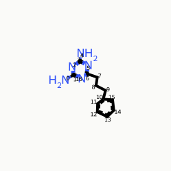 Nc1nc(N)nc(CCCc2ccccc2)n1